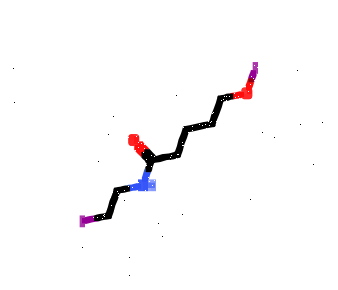 O=C(CCCCOI)NCCI